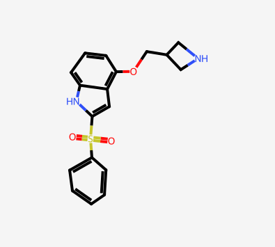 O=S(=O)(c1ccccc1)c1cc2c(OCC3CNC3)cccc2[nH]1